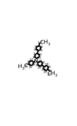 CCc1ccc(-c2ccc(N(c3ccc(C)cc3)c3ccc(-c4ccc(CC)cc4)cc3)cc2)cc1